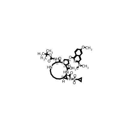 COc1ccc2c(O[C@@H]3C[C@H]4C(=O)N[C@]5(C(=O)NS(=O)(=O)C6CC6)C[C@H]5CCCCCNC[C@H](NC(=O)OC(C)(C)C)C(=O)N4C3)nc(N(C)C)cc2c1